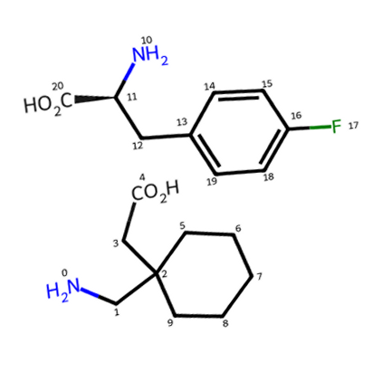 NCC1(CC(=O)O)CCCCC1.N[C@@H](Cc1ccc(F)cc1)C(=O)O